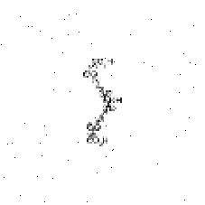 O=C(O)CCC(=O)OCCCCOC(=O)CC(O)C(=O)OCCCCOC(=O)CCC(=O)O